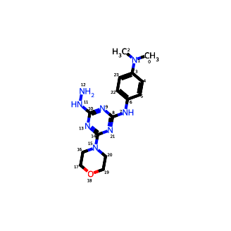 CN(C)c1ccc(Nc2nc(NN)nc(N3CCOCC3)n2)cc1